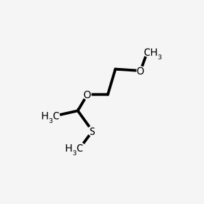 COCCO[C](C)SC